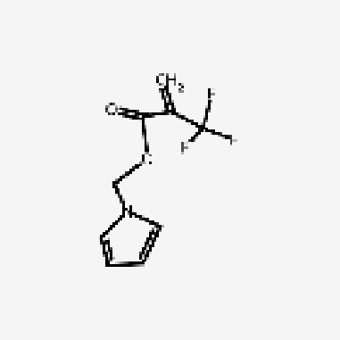 C=C(C(=O)OCn1cccc1)C(F)(F)F